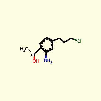 C[C@@H](O)c1ccc(CCCCl)cc1N